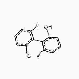 Oc1cccc(I)c1-c1c(Cl)cccc1Cl